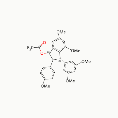 COc1ccc(C2[C@@H](c3cc(OC)cc(OC)c3)c3c(OC)cc(OC)cc3[C@H]2OC(=O)C(F)(F)F)cc1